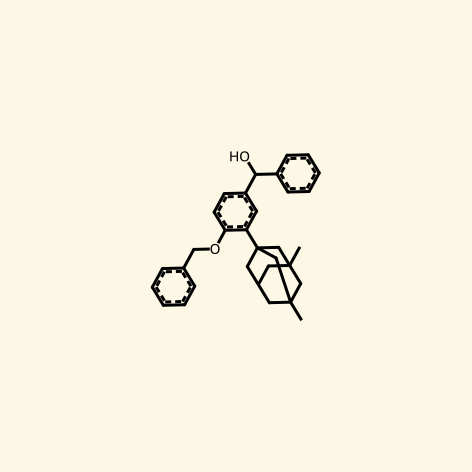 CC12CC3CC(C)(C1)CC(c1cc(C(O)c4ccccc4)ccc1OCc1ccccc1)(C3)C2